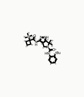 CC(C)(C)c1ccccc1NC(=O)N1Cc2c(NC(=O)C3(S(C)(C)C)CCC3)n[nH]c2C1(C)C